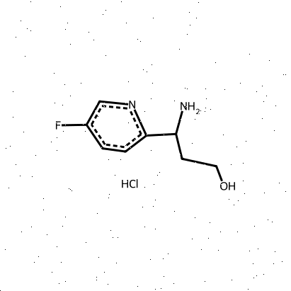 Cl.NC(CCO)c1ccc(F)cn1